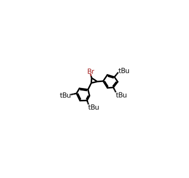 CC(C)(C)c1cc(C2C(Br)C2c2cc(C(C)(C)C)cc(C(C)(C)C)c2)cc(C(C)(C)C)c1